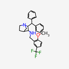 COc1ccc(C(F)(F)F)cc1CNC1C2CCN(C2)C1C(c1ccccc1)c1ccccc1